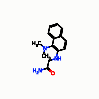 CN(C)c1c(NCC(N)=O)ccc2ccccc12